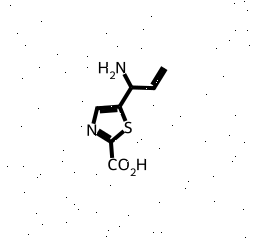 C=CC(N)c1cnc(C(=O)O)s1